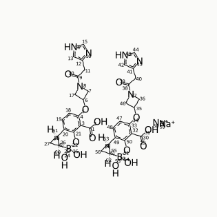 O=C(O)c1c(OC2CN(C(=O)Cc3c[nH]cn3)C2)ccc2c1O[B-](O)(O)[C@H]1C[C@@H]21.O=C(O)c1c(OC2CN(C(=O)Cc3c[nH]cn3)C2)ccc2c1O[B-](O)(O)[C@H]1C[C@@H]21.[Na+].[Na+]